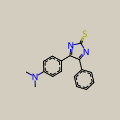 CN(C)c1ccc(C2=NC(=S)N=C2c2ccccc2)cc1